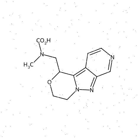 CN(CC1OCCn2nc3cnccc3c21)C(=O)O